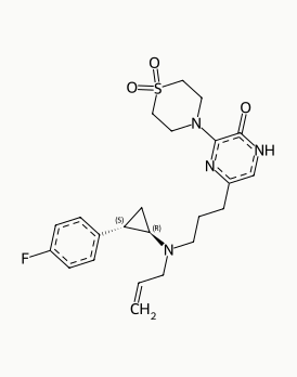 C=CCN(CCCc1c[nH]c(=O)c(N2CCS(=O)(=O)CC2)n1)[C@@H]1C[C@H]1c1ccc(F)cc1